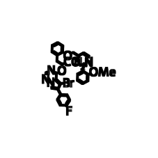 COc1ccccc1-c1nccc(COc2ccccc2CC(Oc2ncnn3cc(-c4ccc(F)cc4)c(Br)c23)C(=O)O)n1